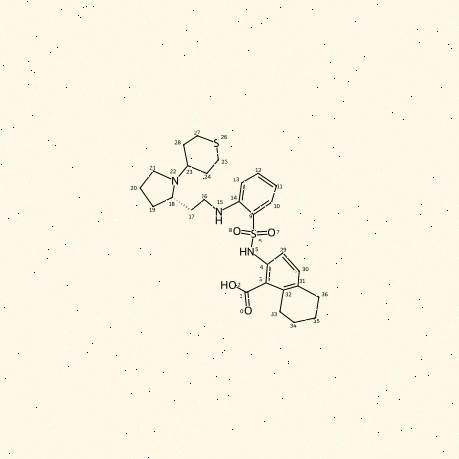 O=C(O)c1c(NS(=O)(=O)c2ccccc2NCC[C@@H]2CCCN2C2CCSCC2)ccc2c1CCCC2